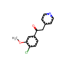 COc1cc(C(=O)Cc2ccncc2)ccc1Cl